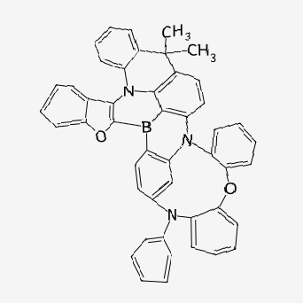 CC1(C)c2ccccc2N2c3c1ccc1c3B(c3ccc4cc3N1c1ccccc1Oc1ccccc1N4c1ccccc1)c1oc3ccccc3c12